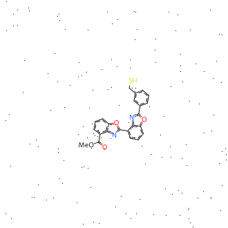 COC(=O)c1cccc2oc(-c3cccc4oc(-c5cccc(CS)c5)nc34)nc12